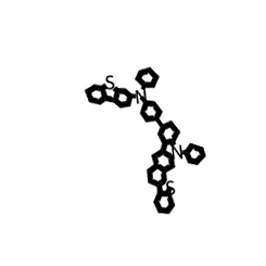 c1ccc(N(c2ccc(-c3ccc4c(c3)c3cc5ccc6c7ccccc7sc6c5cc3n4-c3ccccc3)cc2)c2ccc3c(c2)sc2ccccc23)cc1